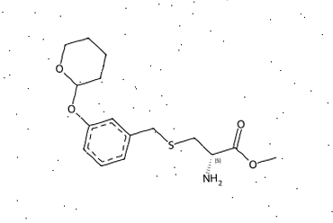 COC(=O)[C@H](N)CSCc1cccc(OC2CCCCO2)c1